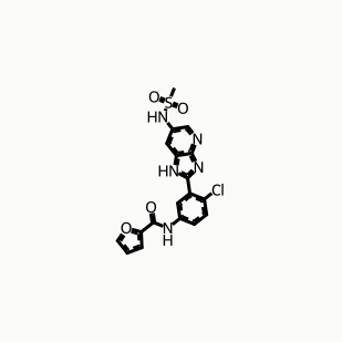 CS(=O)(=O)Nc1cnc2nc(-c3cc(NC(=O)c4ccco4)ccc3Cl)[nH]c2c1